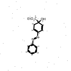 CCOC(=O)C1(O)C=CC(N=Nc2ccccc2)=CC1